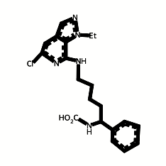 CCn1ncc2cc(Cl)nc(NCCCCC(NC(=O)O)c3ccccc3)c21